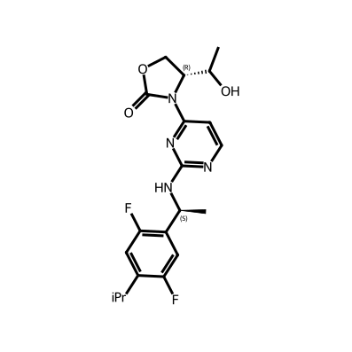 CC(C)c1cc(F)c([C@H](C)Nc2nccc(N3C(=O)OC[C@@H]3C(C)O)n2)cc1F